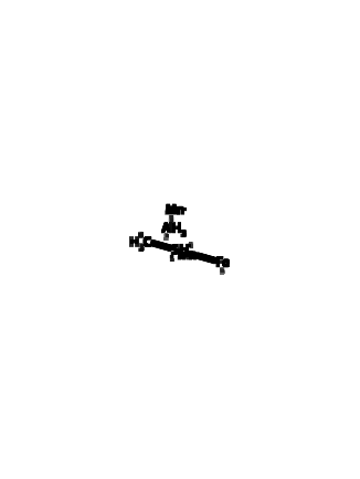 C[SiH3].[AlH3].[Mn].[Mn][Fe]